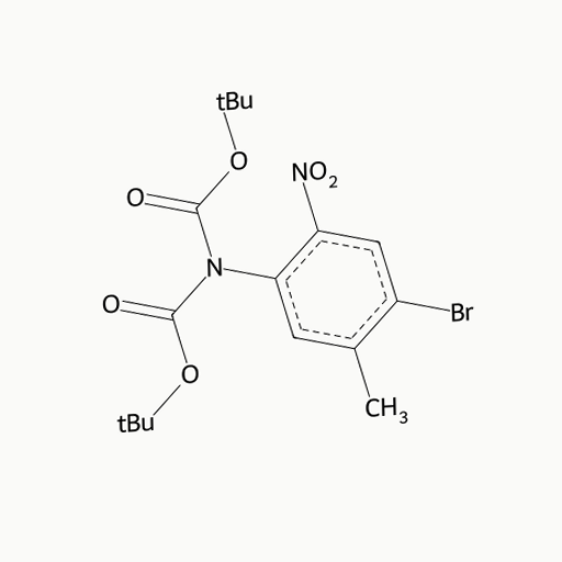 Cc1cc(N(C(=O)OC(C)(C)C)C(=O)OC(C)(C)C)c([N+](=O)[O-])cc1Br